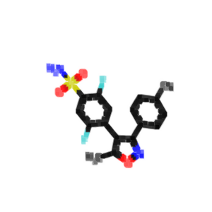 Cc1onc(-c2ccc(C#N)cc2)c1-c1cc(F)c(S(N)(=O)=O)cc1F